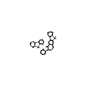 CC1(C)c2ccccc2-c2cc3c(ccc4c5ccccc5n(-c5cccc6c5C(C)(C)c5ccccc5-6)c34)cc21